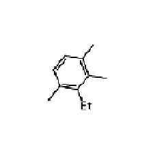 [CH2]Cc1c(C)ccc(C)c1C